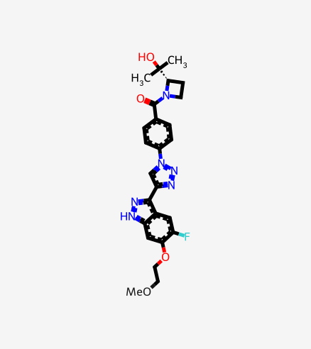 COCCOc1cc2[nH]nc(-c3cn(-c4ccc(C(=O)N5CC[C@H]5C(C)(C)O)cc4)nn3)c2cc1F